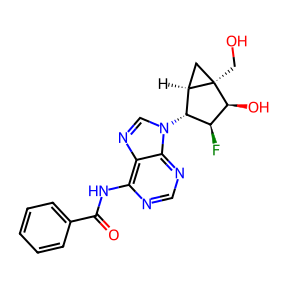 O=C(Nc1ncnc2c1ncn2[C@H]1[C@H](F)[C@H](O)[C@]2(CO)C[C@H]12)c1ccccc1